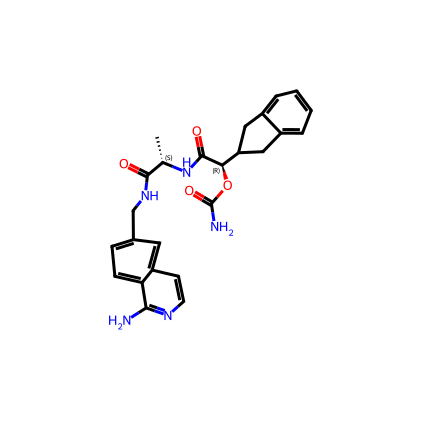 C[C@H](NC(=O)[C@H](OC(N)=O)C1Cc2ccccc2C1)C(=O)NCc1ccc2c(N)nccc2c1